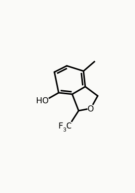 Cc1ccc(O)c2c1COC2C(F)(F)F